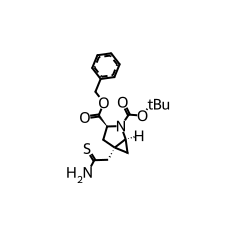 CC(C)(C)OC(=O)N1[C@H]2C[C@@]2(CC(N)=S)C[C@H]1C(=O)OCc1ccccc1